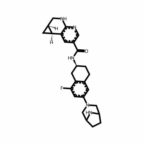 O=C(N[C@H]1CCc2cc(N3CC4CCC(C3)N4)cc(F)c2C1)c1cnc2c(c1)[C@H]1C[C@H]1CN2